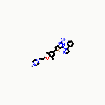 Cc1cc(-c2cc3nc(N)nc(N4N=CCC4c4ccccc4)c3s2)cc(C)c1OCCCN1CCN(C)CC1